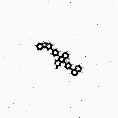 C=C/C=c1/c(-c2ccc(-c3cccc4ccccc34)cc2)c2ccccc2c(-c2ccc(-c3ccc4sc5ccccc5c4c3)cc2)/c1=C/C